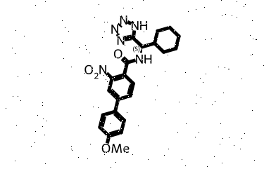 COc1ccc(-c2ccc(C(=O)N[C@H](c3nnn[nH]3)C3CCCCC3)c([N+](=O)[O-])c2)cc1